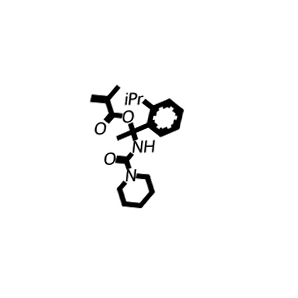 C=C(C)C(=O)OC(C)(NC(=O)N1CCCCC1)c1ccccc1C(C)C